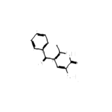 Cc1[nH]c(=O)c(N)cc1C(=O)c1ccccc1